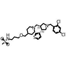 CS(=O)(=O)NCCCOCC1CCN(C[C@H]2CN(Cc3ccc(Cl)cc3Cl)C[C@@H]2c2ccsc2)CC1